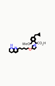 COCc1ccc(CC2CC2)cc1C(C(=O)O)N1CC[C@@H](OCCCCCc2ccc3c(n2)NCCC3)C1